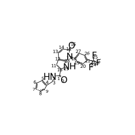 O=C(NCc1ccccc1)c1cc2ccc(=O)n(-c3ccc(C(F)(F)F)cc3)c2[nH]1